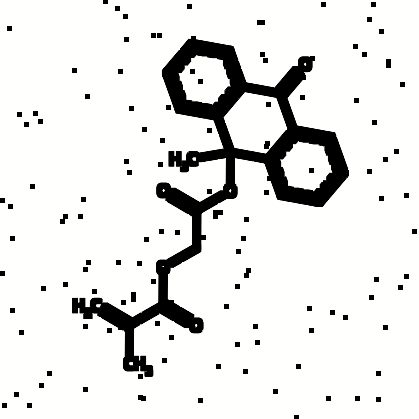 C=C(C)C(=O)OCC(=O)OC1(C)c2ccccc2C(=O)c2ccccc21